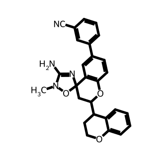 CN1OC2(CC(C3CCOc4ccccc43)Oc3ccc(-c4cccc(C#N)c4)cc32)N=C1N